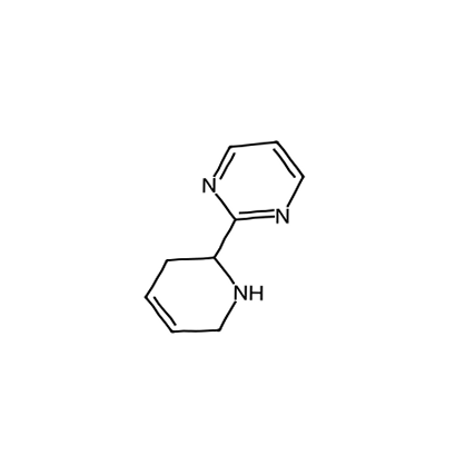 C1=CCC(c2ncccn2)NC1